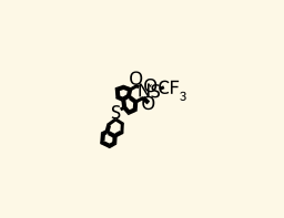 O=C1c2cccc3c(SC4C=c5ccccc5=CC4)ccc(c23)C(=O)N1OSC(F)(F)F